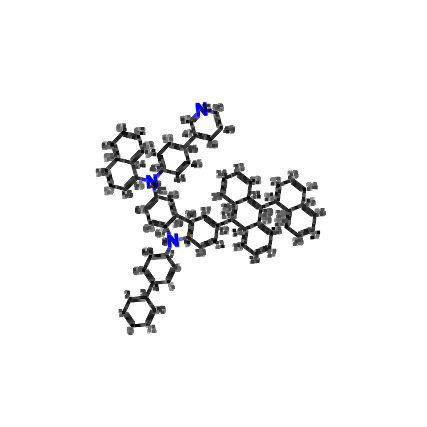 c1ccc(-c2ccc(-n3c4ccc(-c5c6ccccc6c(-c6cccc7ccccc67)c6ccccc56)cc4c4cc(N(c5ccc(-c6cccnc6)cc5)c5cccc6ccccc56)ccc43)cc2)cc1